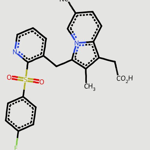 Cc1c(CC(=O)O)c2ccc(C#N)cn2c1Cc1cccnc1S(=O)(=O)c1ccc(F)cc1